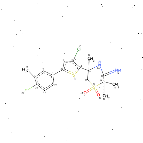 Cc1cc(-c2cc(Cl)c([C@]3(C)CS(=O)(=O)C(C)(C)C(=N)N3)s2)ccc1F